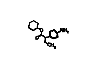 CCC(C(=O)OC1CCCCC1)c1ccc(N)cc1